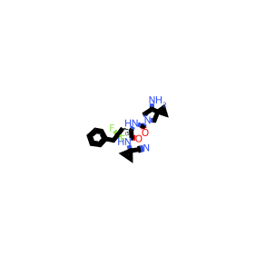 N#CC1(NC(=O)[C@H](CC(F)(F)Cc2ccccc2)NC(=O)N2CC(N)C3(CC3)C2)CC1